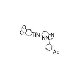 CC(=O)c1cccc(-c2cnc3ccc(NCc4ccc5c(c4)OCO5)nn23)c1